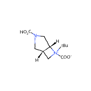 CC(C)(C)[N+]1(C(=O)[O-])C[C@@H]2CN(C(=O)O)C[C@@H]21